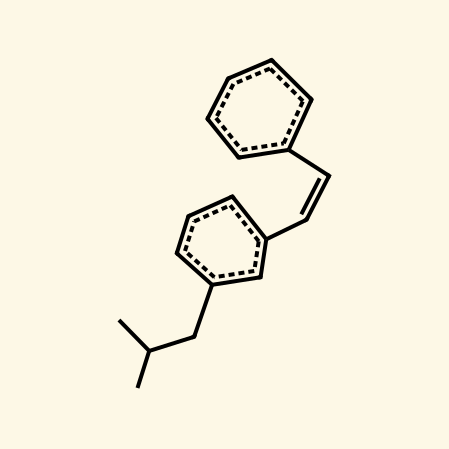 CC(C)Cc1cccc(/C=C\c2ccccc2)c1